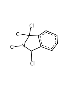 ClC1c2ccccc2C(Cl)(Cl)N1Cl